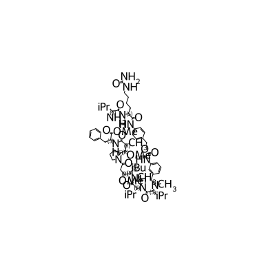 CC[C@H](C)[C@@H]([C@@H](CC(=O)N1CCC[C@H]1[C@H](OC)[C@@H](C)C(=O)N[C@@H](Cc1ccccc1)C(=O)OC)OC)N(C)C(=O)[C@@H](NC(=O)[C@H](C(C)C)N(C)Cc1cccc(NC(=O)OCc2ccc(NC(=O)[C@H](CCCCNC(N)=O)NC(=O)[C@@H](N)C(C)C)cc2)c1)C(C)C